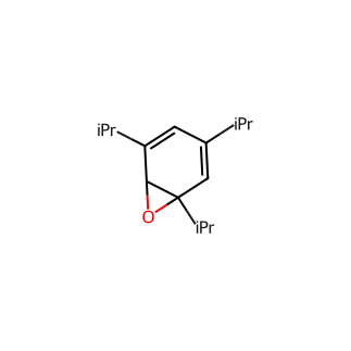 CC(C)C1=CC2(C(C)C)OC2C(C(C)C)=C1